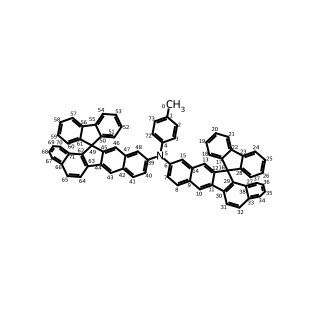 Cc1ccc(N(c2ccc3cc4c(cc3c2)C2(c3ccccc3-c3ccccc32)c2c-4ccc3ccccc23)c2ccc3cc4c(cc3c2)C2(c3ccccc3-c3ccccc32)c2c-4ccc3ccccc23)cc1